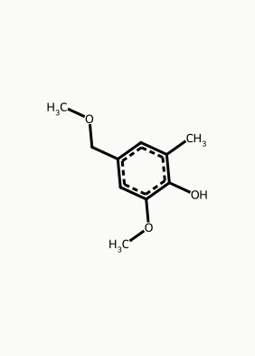 COCc1cc(C)c(O)c(OC)c1